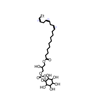 CC/C=C\C/C=C\C/C=C\CCCCCCCCCC(=O)OCC(O)COP(=O)(O)OC1C(O)C(O)C(O)C(O)C1O